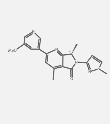 COc1cncc(-c2cc(C)c3c(n2)[C@@H](C)N(c2ccn(C)n2)C3=O)c1